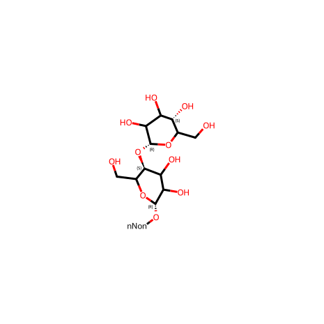 CCCCCCCCCO[C@@H]1OC(CO)[C@@H](O[C@H]2OC(CO)[C@@H](O)C(O)C2O)C(O)C1O